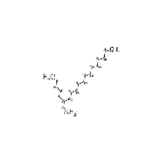 [CH2]CC(CCCCC)CCCCCCCCCCCCC